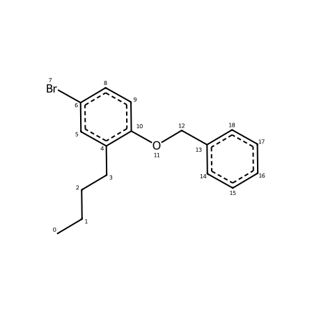 CCCCc1cc(Br)ccc1OCc1ccccc1